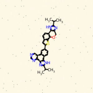 CC(C)c1nc2c([nH]1)-c1ccc3cc(-c4ccc5c(c4)c4cncnc4c4nc(C(C)C)[nH]c54)sc3c1OC2